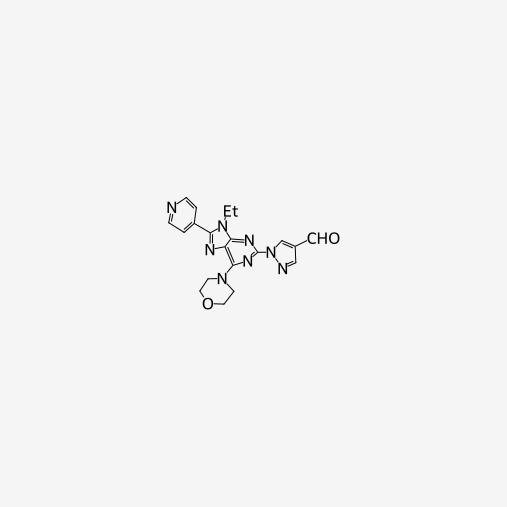 CCn1c(-c2ccncc2)nc2c(N3CCOCC3)nc(-n3cc(C=O)cn3)nc21